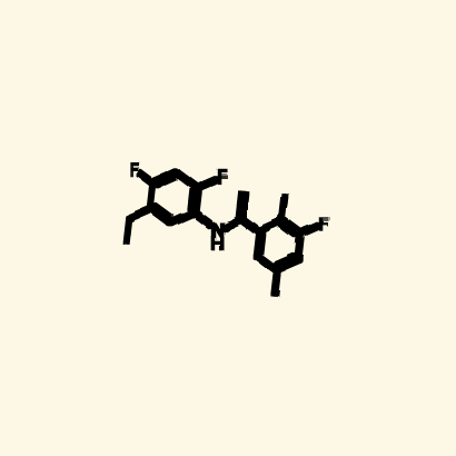 C=C(Nc1cc(CC)c(F)cc1F)c1cc(C)cc(F)c1C